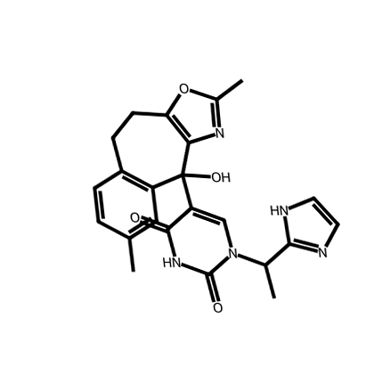 Cc1ccc2c(c1)C(O)(c1cn(C(C)c3ncc[nH]3)c(=O)[nH]c1=O)c1nc(C)oc1CC2